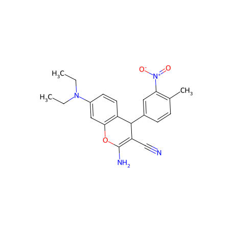 CCN(CC)c1ccc2c(c1)OC(N)=C(C#N)C2c1ccc(C)c([N+](=O)[O-])c1